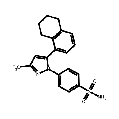 NS(=O)(=O)c1ccc(-n2nc(C(F)(F)F)cc2-c2cccc3c2CCCC3)cc1